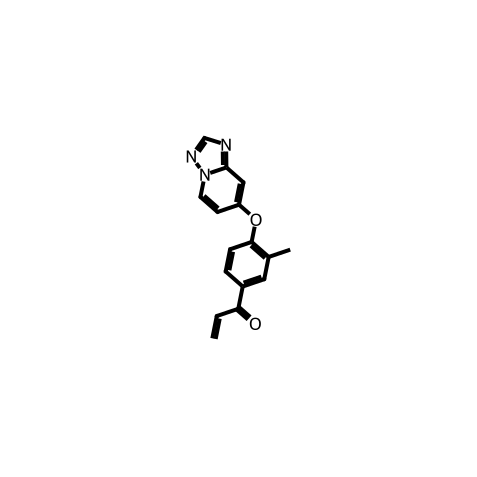 C=CC(=O)c1ccc(Oc2ccn3ncnc3c2)c(C)c1